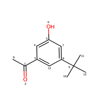 CC(=O)c1cc(O)cc(C(C)(C)C)c1